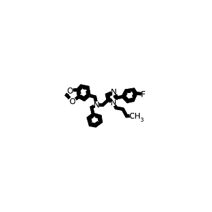 CCCCn1c(CN(Cc2ccccc2)Cc2ccc3c(c2)OCO3)cnc1-c1ccc(F)cc1